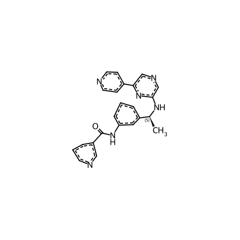 C[C@H](Nc1cncc(-c2ccncc2)n1)c1cccc(NC(=O)c2cccnc2)c1